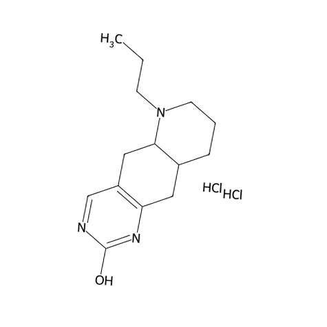 CCCN1CCCC2Cc3nc(O)ncc3CC21.Cl.Cl